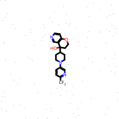 OC1(C2CCN(c3ccc(C(F)(F)F)nc3)CC2)CCOc2ccncc21